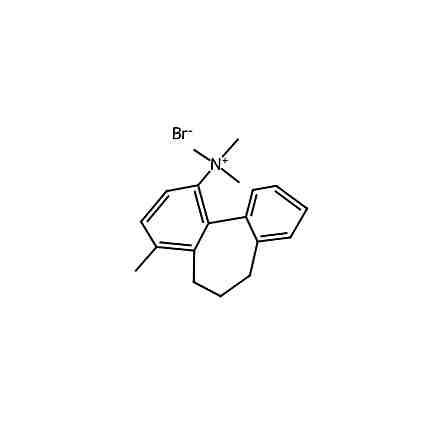 Cc1ccc([N+](C)(C)C)c2c1CCCc1ccccc1-2.[Br-]